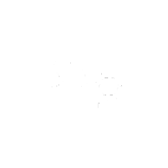 CC(C)(COc1ccccc1Cl)C(=O)O